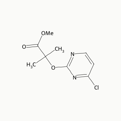 COC(=O)C(C)(C)Oc1nccc(Cl)n1